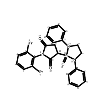 CC(C)c1cccc(C(C)C)c1N1C(=O)CC(P2(=O)N(c3ccccc3)CCN2c2ccccc2)C1=O